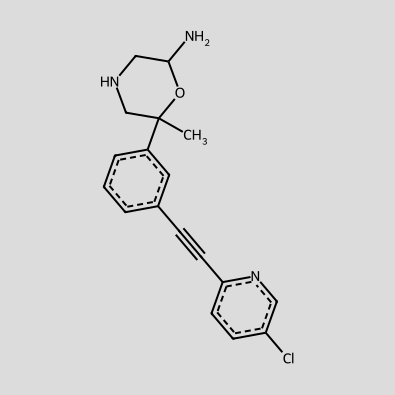 CC1(c2cccc(C#Cc3ccc(Cl)cn3)c2)CNCC(N)O1